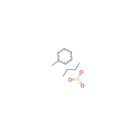 CCCC.Cc1ccccc1.O=S(=O)=O